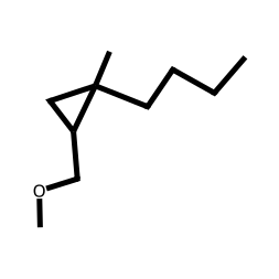 CCCCC1(C)CC1COC